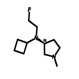 CN1CC[C@H](N(CCF)C2CCC2)C1